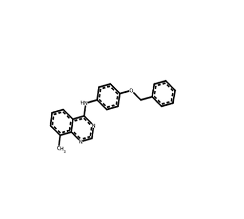 Cc1cccc2c(Nc3ccc(OCc4ccccc4)cc3)ncnc12